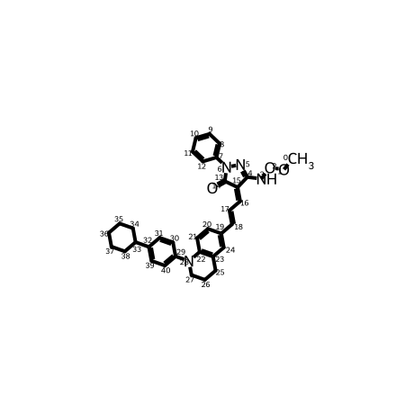 COONC1=NN(c2ccccc2)C(=O)/C1=C\C=C\c1ccc2c(c1)CCCN2c1ccc(C2CCCCC2)cc1